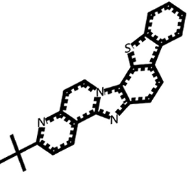 CC(C)(C)c1ccc2c(ccn3c2nc2ccc4c5ccccc5sc4c23)n1